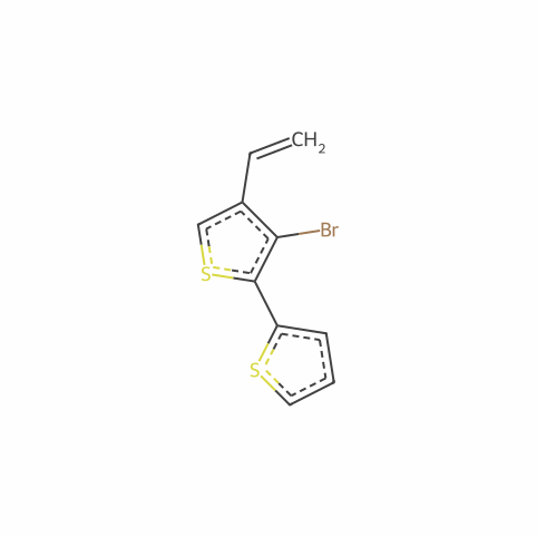 C=Cc1csc(-c2cccs2)c1Br